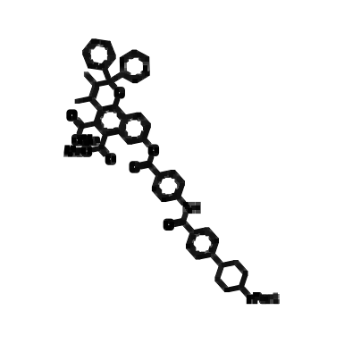 CCCCCC1CCC(c2ccc(C(=O)Nc3ccc(C(=O)Oc4ccc5c6c(c(C(=O)OC)c(C(=O)OC)c5c4)C(C)=C(C)C(c4ccccc4)(c4ccccc4)O6)cc3)cc2)CC1